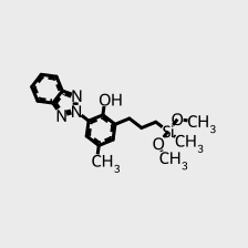 CO[Si](C)(CCCc1cc(C)cc(-n2nc3ccccc3n2)c1O)OC